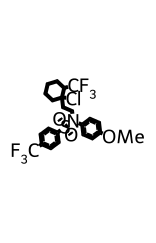 COc1ccc(N(CCC2(Cl)CCCCC2C(F)(F)F)S(=O)(=O)c2ccc(C(F)(F)F)cc2)cc1